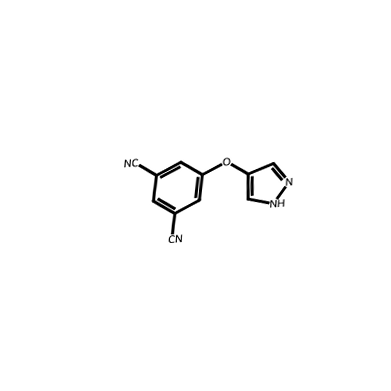 N#Cc1cc(C#N)cc(Oc2cn[nH]c2)c1